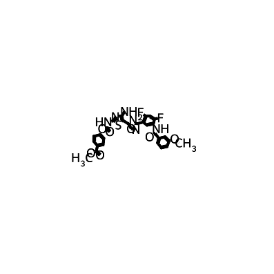 COC(=O)c1ccc(OC(=O)Nc2nc(N)c(-c3nc(-c4cc(NC(=O)c5cccc(OC)c5)c(F)cc4F)no3)s2)cc1